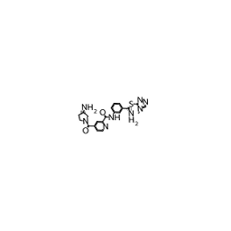 Cn1cnnc1S[C@@H](N)c1cccc(NC(=O)c2cc(C(=O)N3CC[C@@H](N)C3)ccn2)c1